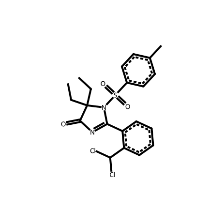 CCC1(CC)C(=O)N=C(c2ccccc2C(Cl)Cl)N1S(=O)(=O)c1ccc(C)cc1